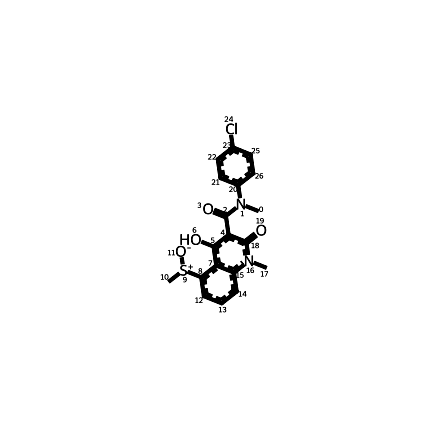 CN(C(=O)c1c(O)c2c([S+](C)[O-])cccc2n(C)c1=O)c1ccc(Cl)cc1